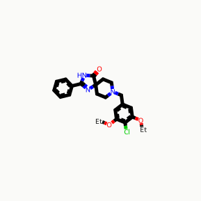 CCOc1cc(CN2CCC3(CC2)N=C(c2ccccc2)NC3=O)cc(OCC)c1Cl